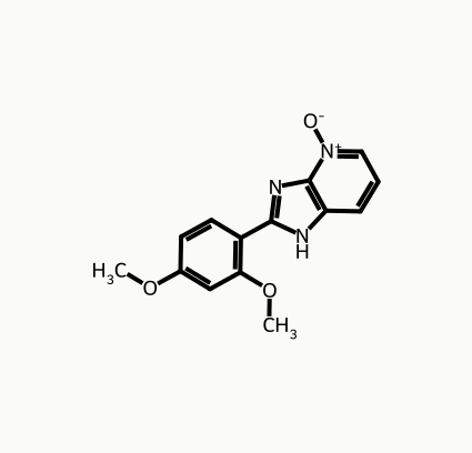 COc1ccc(-c2nc3c(ccc[n+]3[O-])[nH]2)c(OC)c1